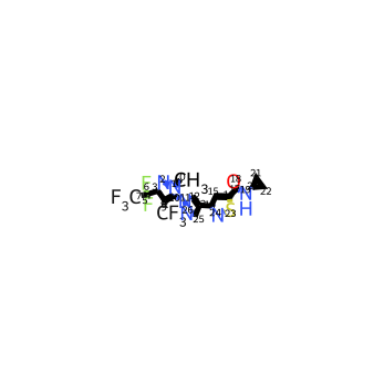 Cn1nc(C(F)(F)C(F)(F)F)c(C(F)(F)F)c1-n1cc(-c2cc(C(=O)NC3CC3)sn2)cn1